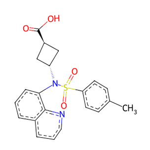 Cc1ccc(S(=O)(=O)N(c2cccc3cccnc23)[C@H]2C[C@H](C(=O)O)C2)cc1